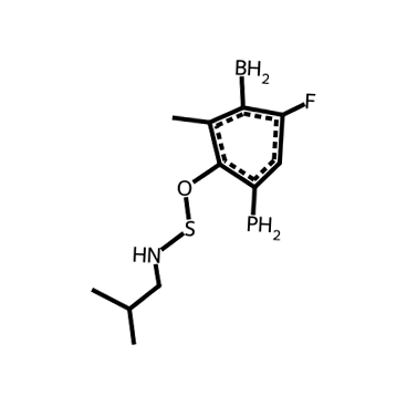 Bc1c(F)cc(P)c(OSNCC(C)C)c1C